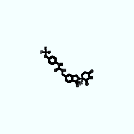 C[C@]1(N2Cc3cc(CNC(=O)Nc4ccc(OC(F)(F)F)cc4)ccc3C2=O)CCC(=O)NC1=O